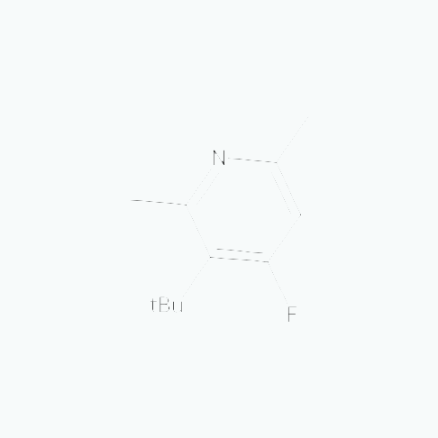 Cc1cc(F)c(C(C)(C)C)c(C)n1